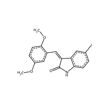 COc1ccc(OC)c(C=C2C(=O)Nc3ccc(I)cc32)c1